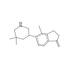 C=C1CCc2c1ccc(C1CNCC(C)(C)C1)c2C